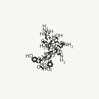 CSCC[C@H](NC(=O)[C@H](CC(=O)O)NC(=O)[C@H](CC(N)=O)NC(=O)[C@H](CC(N)=O)NC(=O)[C@H](CC(N)=O)NC(=O)[C@H](Cc1ccc(O)cc1)NC(=O)[C@H](C)NC(=O)[C@H](Cc1ccc(O)cc1)NC(=O)[C@H](C)N)C(=O)N[C@@H](CCCNC(=N)N)C(=O)O